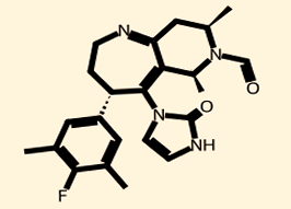 Cc1cc([C@@H]2CCN=C3C[C@@H](C)N(C=O)[C@@H](C)C3=C2n2cc[nH]c2=O)cc(C)c1F